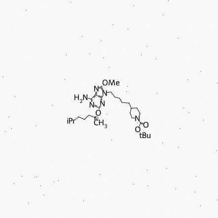 COc1nc2c(N)nc(O[C@@H](C)CCCC(C)C)nc2n1CCCCCC1CCN(C(=O)OC(C)(C)C)CC1